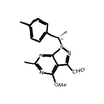 COc1nc(C)nc2c1c(C=O)nn2[C@@H](C)c1ccc(C)cc1